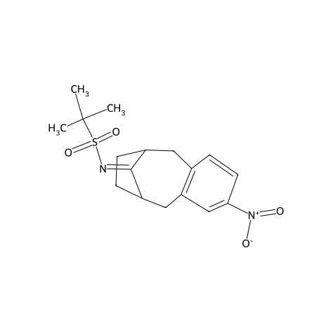 CC(C)(C)S(=O)(=O)N=C1C2CCC1Cc1cc([N+](=O)[O-])ccc1C2